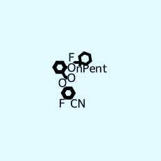 CCCCCC1(C(F)Oc2ccccc2C(=O)Oc2ccc(C#N)c(F)c2)CCCCC1